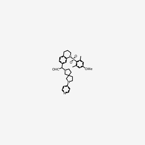 COc1cc(C)c(S(=O)(=O)N2CCCc3ccc(C(C=O)N4CCC5(CCN(c6ccncc6)C5)C4)cc32)c(C)c1